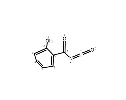 O=C=NC(=O)c1ccccc1O